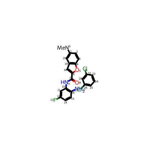 CNc1ccc2oc(C(=O)Nc3cc(F)ccc3N)cc2c1.Clc1cccc(Cl)c1